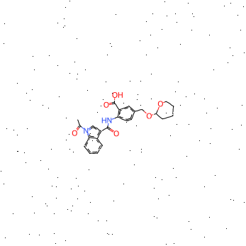 CC(=O)n1cc(C(=O)Nc2ccc(COC3CCCCO3)cc2C(=O)O)c2ccccc21